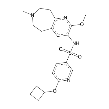 COc1nc2c(cc1NS(=O)(=O)c1ccc(OC3CCC3)nc1)CCN(C)CC2